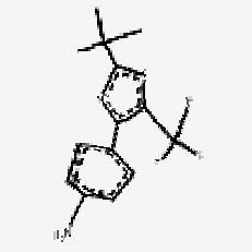 CC(C)(C)c1nc(-c2ccc(N)cc2)c(C(F)(F)F)s1